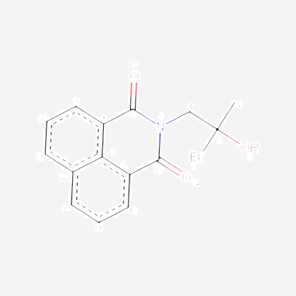 CCC(C)(O)CN1C(=O)c2cccc3cccc(c23)C1=O